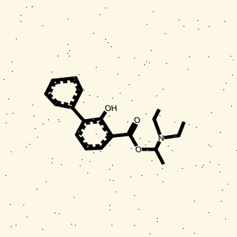 CCN(CC)C(C)OC(=O)c1cccc(-c2ccccc2)c1O